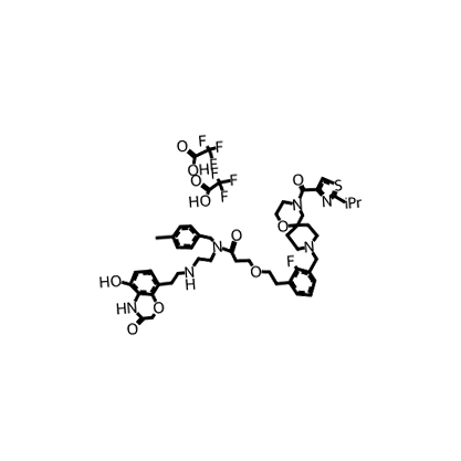 Cc1ccc(CN(CCNCCc2ccc(O)c3c2OCC(=O)N3)C(=O)CCOCCc2cccc(CN3CCC4(CC3)CN(C(=O)c3csc(C(C)C)n3)CCO4)c2F)cc1.O=C(O)C(F)(F)F.O=C(O)C(F)(F)F